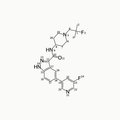 CC(C)(F)CN1CCC(NC(=O)c2n[nH]c3ccc(-c4cncc(F)c4)cc23)CC1